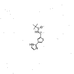 C[C@@H](N[S+]([O-])C(C)(C)C)c1cc(-c2ncc[nH]2)cs1